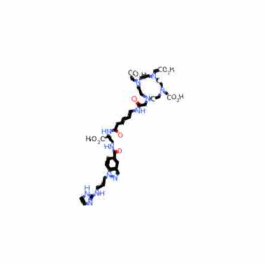 O=C(O)CN1CCN(CC(=O)O)CCN(CC(=O)NCCCCCC(=O)N[C@@H](CNC(=O)c2ccc3c(cnn3CCCNc3ncc[nH]3)c2)C(=O)O)CCN(CC(=O)O)CC1